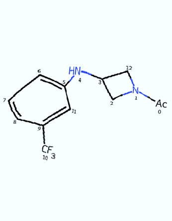 CC(=O)N1CC(Nc2cccc(C(F)(F)F)c2)C1